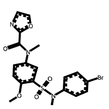 COc1ccc(N(C)C(=O)c2ncco2)cc1S(=O)(=O)N(C)c1ccc(Br)cc1